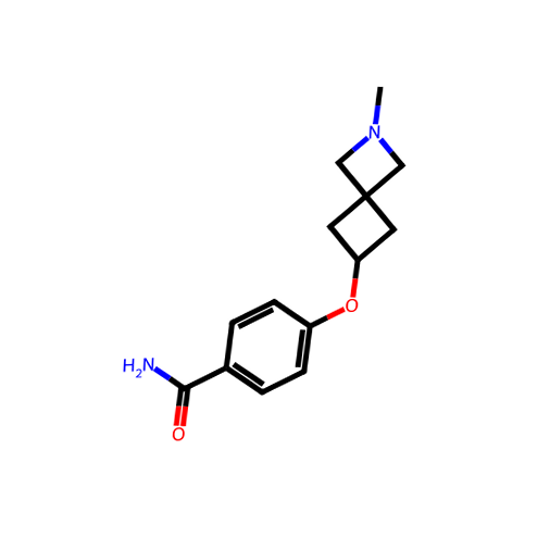 CN1CC2(CC(Oc3ccc(C(N)=O)cc3)C2)C1